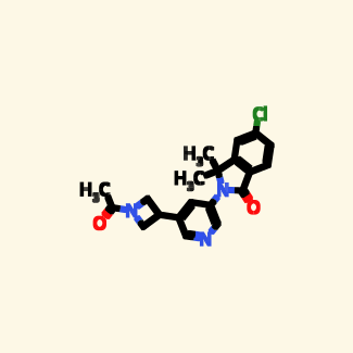 CC(=O)N1CC(c2cncc(N3C(=O)c4ccc(Cl)cc4C3(C)C)c2)C1